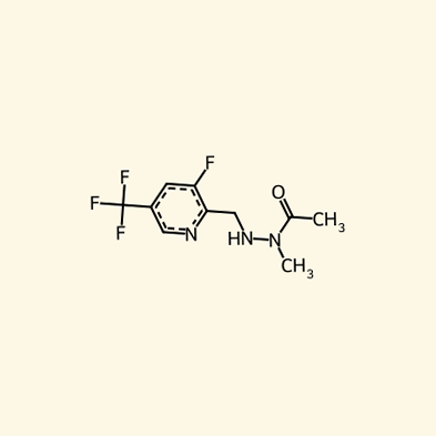 CC(=O)N(C)NCc1ncc(C(F)(F)F)cc1F